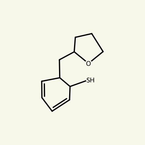 SC1C=CC=CC1CC1CCCO1